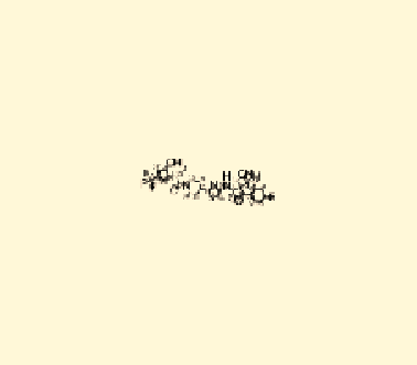 CCC(C(=O)O)(C(=O)Nc1csc(C2CCN(C(=O)Cn3nc(C(F)(F)F)cc3C)CC2)n1)C(=O)c1ccc(F)cc1